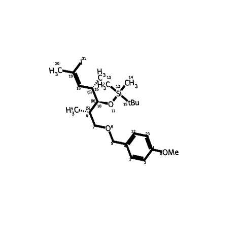 COc1ccc(COC[C@H](C)[C@H](O[Si](C)(C)C(C)(C)C)[C@@H](C)C=C(C)I)cc1